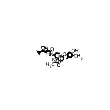 Cc1cc(C[C@H](CNC(=O)[C@H](C)N)C(=O)N2CCC(NC(=O)c3cc(C4CC4)on3)CC2)ccc1O